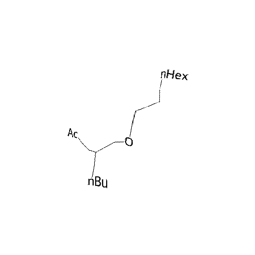 CCCCCCCCOC(CCCC)C(C)=O